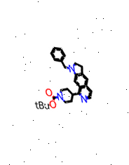 CC(C)(C)OC(=O)N1CCC(c2nccc3cc4c(cc23)N(Cc2ccccc2)CC4)CC1